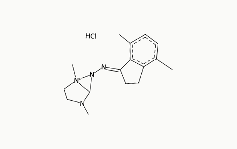 Cc1ccc(C)c2c1CCC2=NN1C2N(C)CC[N+]21C.Cl